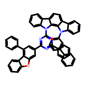 c1ccc(-c2cccc(-n3c4ccccc4c4ccc5c6ccccc6n(-c6nc(-c7ccccc7)nc(-c7cc(-c8ccccc8)c8c(c7)oc7ccccc78)n6)c5c43)c2)cc1